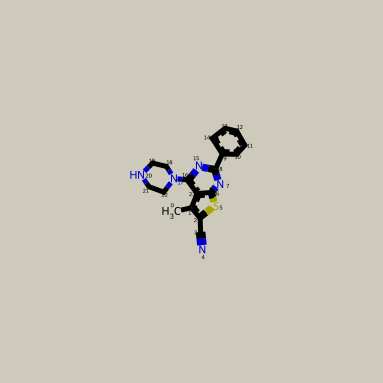 Cc1c(C#N)sc2nc(-c3ccccc3)nc(N3CCNCC3)c12